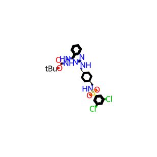 CC(C)(C)OC(=O)NNc1nc(NC[C@H]2CC[C@H](CNS(=O)(=O)c3cc(Cl)cc(Cl)c3)CC2)nc2ccccc12